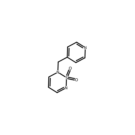 O=S1(=O)N=CC=CN1Cc1ccncc1